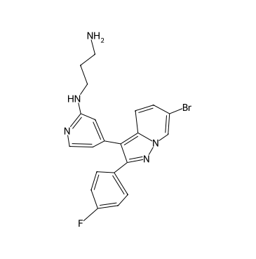 NCCCNc1cc(-c2c(-c3ccc(F)cc3)nn3cc(Br)ccc23)ccn1